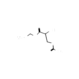 COCOC(=O)C(C)CSC(=O)C(C)(C)C